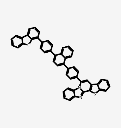 c1ccc2c(c1)nc1c3sc4ccccc4c3cc(-c3ccc(-c4ccc(-c5ccc(-c6cccc7c6oc6ccccc67)cc5)c5ccccc45)cc3)n21